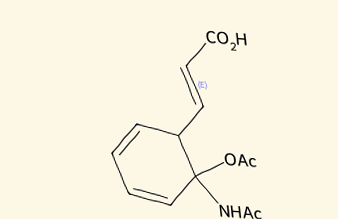 CC(=O)NC1(OC(C)=O)C=CC=CC1/C=C/C(=O)O